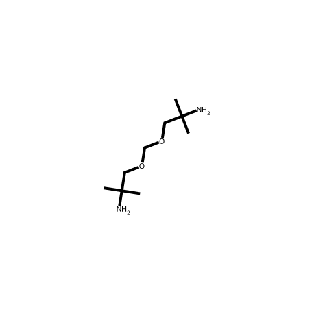 CC(C)(N)COCOCC(C)(C)N